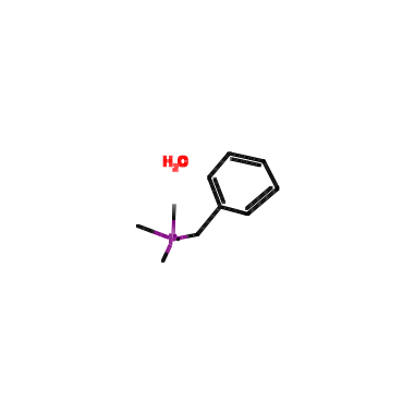 C[P](C)(C)Cc1ccccc1.O